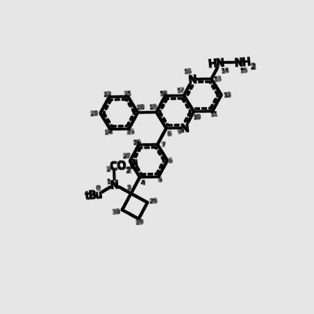 CC(C)(C)N(C(=O)O)C1(c2ccc(-c3nc4ccc(NN)nc4cc3-c3ccccc3)cc2)CCC1